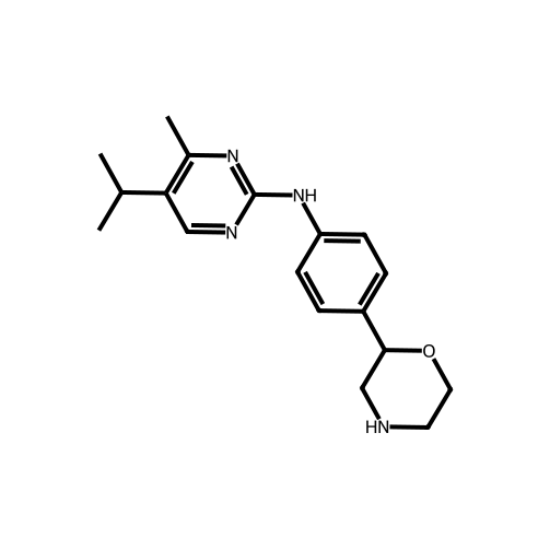 Cc1nc(Nc2ccc(C3CNCCO3)cc2)ncc1C(C)C